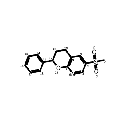 CS(=O)(=O)c1cnc2c(c1)CCC(c1ccccc1)O2